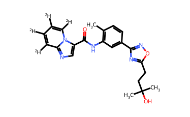 [2H]c1c([2H])c([2H])n2c(C(=O)Nc3cc(-c4noc(CCC(C)(C)O)n4)ccc3C)cnc2c1[2H]